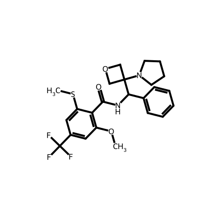 COc1cc(C(F)(F)F)cc(SC)c1C(=O)NC(c1ccccc1)C1(N2CCCC2)COC1